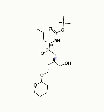 CCC[C@H](NC(=O)OC(C)(C)C)[C@@H](O)/C=C(/CO)CCOC1CCCCO1